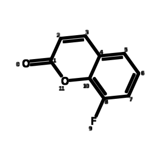 O=c1ccc2cccc(F)c2o1